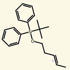 C/C=C/CCO[Si](c1ccccc1)(c1ccccc1)C(C)(C)C